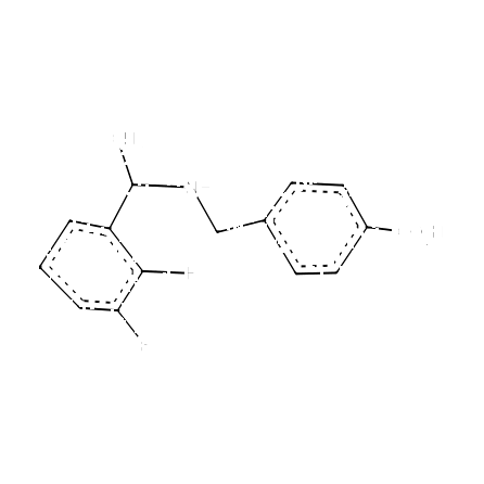 CC(NCc1ccc(C(=O)O)cc1)c1cccc(F)c1F